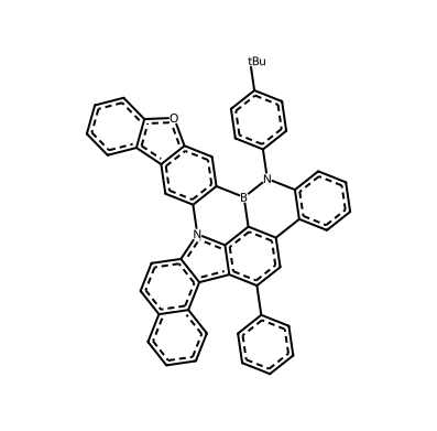 CC(C)(C)c1ccc(N2B3c4cc5oc6ccccc6c5cc4-n4c5ccc6ccccc6c5c5c(-c6ccccc6)cc(c3c54)-c3ccccc32)cc1